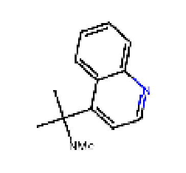 CNC(C)(C)c1ccnc2ccccc12